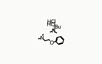 CCC(C)N(C)C.CN(C)CCOc1ccccc1.Cl.Cl